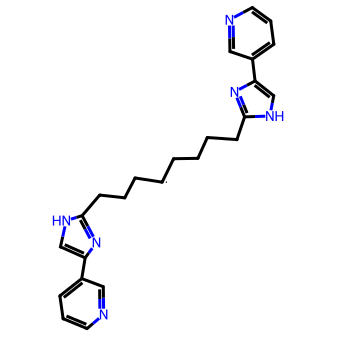 [CH](CCCCc1nc(-c2cccnc2)c[nH]1)CCCc1nc(-c2cccnc2)c[nH]1